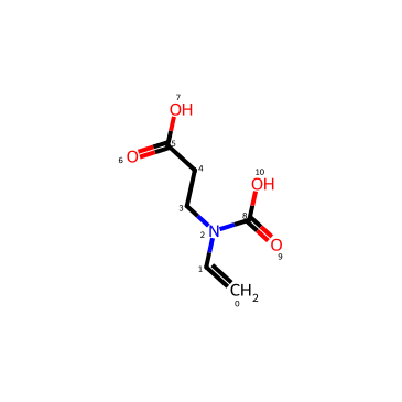 C=CN(CCC(=O)O)C(=O)O